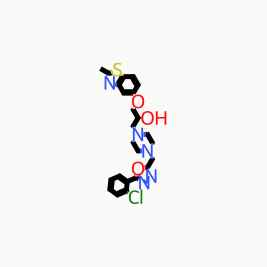 Cc1nc2cc(OC[C@H](O)CN3CCN(Cc4nnc(-c5ccccc5Cl)o4)CC3)ccc2s1